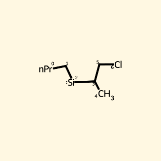 CCCC[Si]C(C)CCl